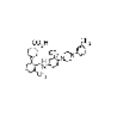 O=C(O)C1CCN(c2cccc(C(F)(F)F)c2CNc2ccc(N3CCN(c4cccc(C(F)(F)F)c4)CC3)c(C(F)(F)F)c2)CC1